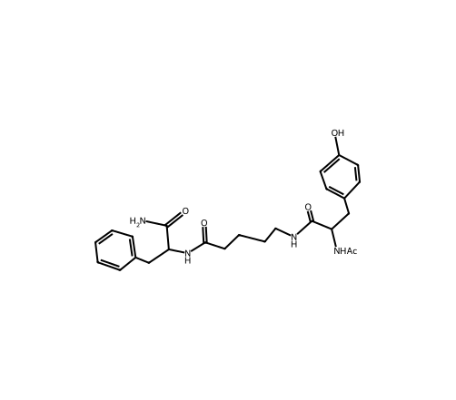 CC(=O)NC(Cc1ccc(O)cc1)C(=O)NCCCCC(=O)NC(Cc1ccccc1)C(N)=O